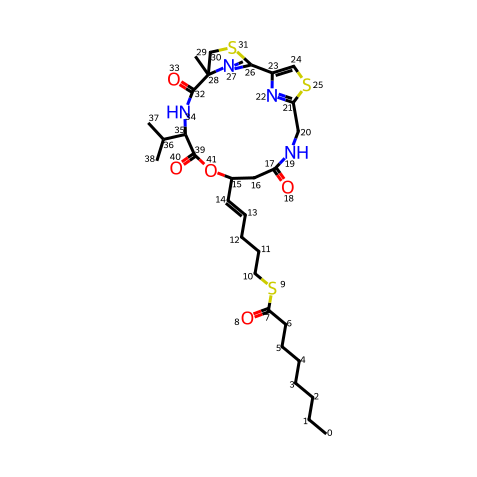 CCCCCCCC(=O)SCCC/C=C/C1CC(=O)NCc2nc(cs2)C2=NC(C)(CS2)C(=O)NC(C(C)C)C(=O)O1